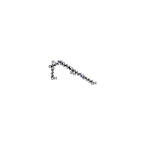 O=C(NCSC/N=C/OOCSCSCO)OCCSCCOO/C=N\CSCNC(=O)OCSCSCO